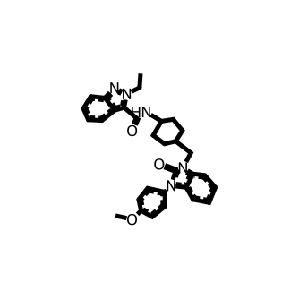 CCn1nc2ccccc2c1C(=O)NC1CCC(Cn2c(=O)n(-c3ccc(OC)cc3)c3ccccc32)CC1